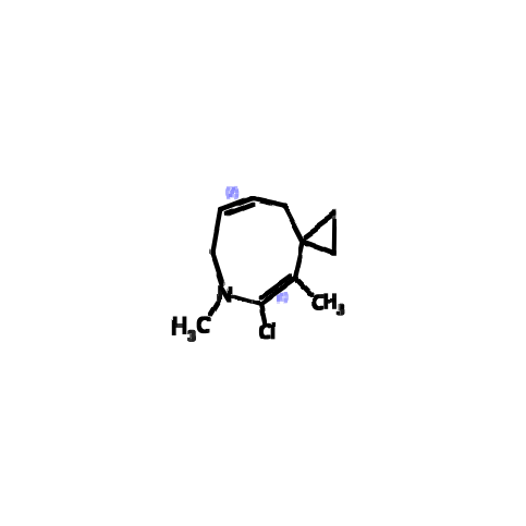 C/C1=C(\Cl)N(C)C/C=C\CC12CC2